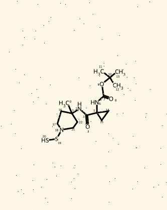 CC1(NC(=O)C2(NC(=O)OC(C)(C)C)CC2)CCN(SS)CC1